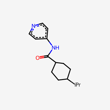 CC(C)C1CCC(C(=O)Nc2ccncc2)CC1